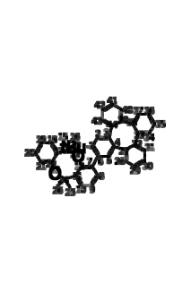 CC(C)(C)c1cc2c(cc1-c1cccc3c1OC(C)(C)c1ccccc1OC3(C)C)-c1ccccc1-c1ccccc1-c1ccccc1-2